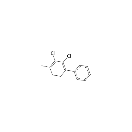 CC1=C(Cl)C(Cl)=C(c2ccccc2)C[CH]1